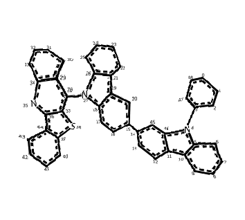 c1ccc(-n2c3ccccc3c3ccc(-c4ccc5c(c4)c4ccccc4n5-c4c5ccccc5nc5c4sc4ccccc45)cc32)cc1